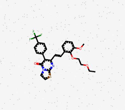 CCOCCOc1c(C=Cc2nc3sccn3c(=O)c2-c2ccc(C(F)(F)F)cc2)cccc1OC